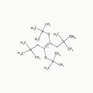 C[Si](C)(C)C/C(O[Si](C)(C)C)=C(/C[Si](C)(C)C)O[Si](C)(C)C